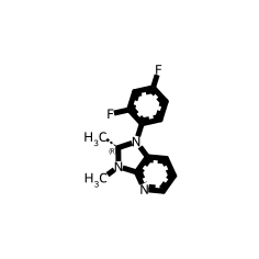 C[C@H]1N(C)c2ncccc2N1c1ccc(F)cc1F